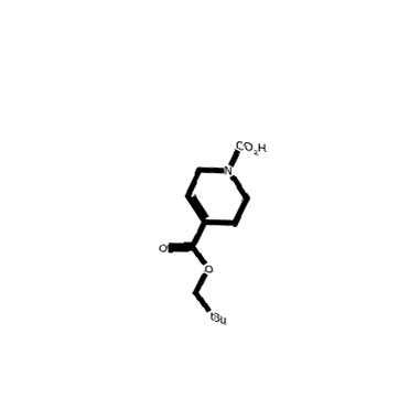 CC(C)(C)COC(=O)C1=CCN(C(=O)O)CC1